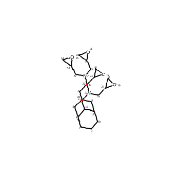 C1CC2CC(CCN(CC3CO3)CC3CO3)CC(C1)C2CN(CC1CO1)CC1CO1